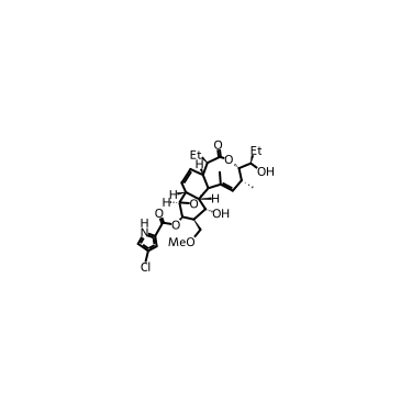 CC[C@@H](O)[C@H]1OC(=O)[C@H](CC)[C@H]2C=C[C@H]3[C@H]4O[C@]2(/C(C)=C/[C@H]1C)[C@@H]3[C@H](O)[C@@H](COC)[C@H]4OC(=O)c1cc(Cl)c[nH]1